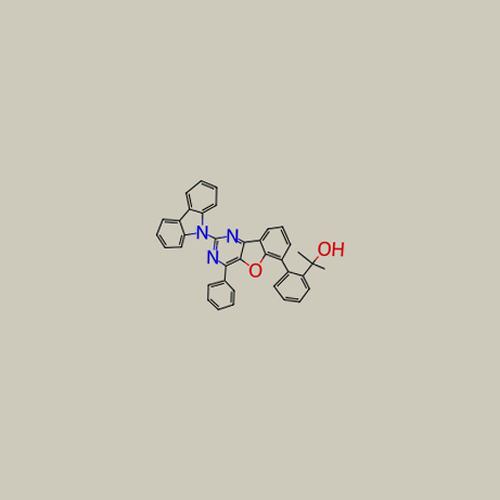 CC(C)(O)c1ccccc1-c1cccc2c1oc1c(-c3ccccc3)nc(-n3c4ccccc4c4ccccc43)nc12